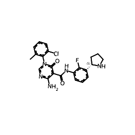 Cc1cccc(Cl)c1-n1cnc(N)c(C(=O)Nc2cccc([C@@H]3CCCN3)c2F)c1=O